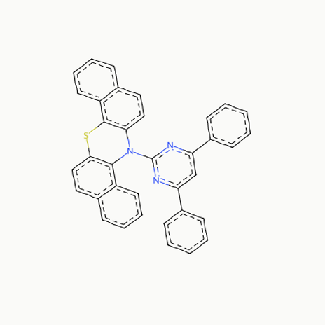 c1ccc(-c2cc(-c3ccccc3)nc(N3c4ccc5ccccc5c4Sc4ccc5ccccc5c43)n2)cc1